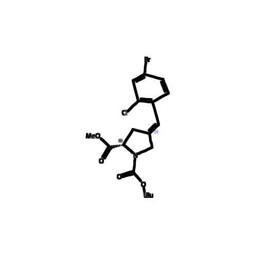 COC(=O)[C@@H]1C/C(=C\c2ccc(Br)cc2Cl)CN1C(=O)OC(C)(C)C